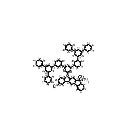 CC1(C)c2ccccc2-c2cc3c4cc(Br)ccc4n(-c4nc(-c5cccc(-c6cc(-c7ccccc7)cc(-c7ccccc7)c6)c5)nc(-c5cccc(-c6cc(-c7ccccc7)cc(-c7ccccc7)c6)c5)n4)c3cc21